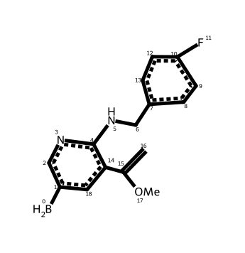 Bc1cnc(NCc2ccc(F)cc2)c(C(=C)OC)c1